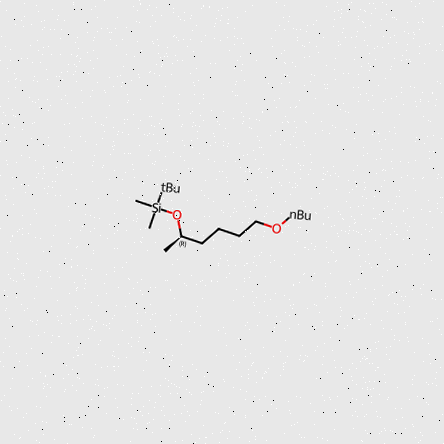 CCCCOCCCC[C@@H](C)O[Si](C)(C)C(C)(C)C